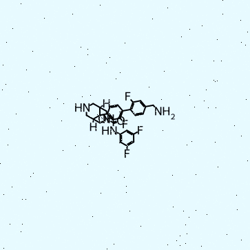 NCc1ccc(-c2ccc([C@]3(O)[C@@H]4CNC[C@H]3CN(C(=O)Nc3cc(F)cc(F)c3)C4)cc2F)c(F)c1